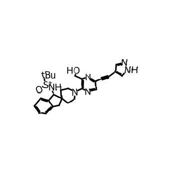 CC(C)(C)[S+]([O-])N[C@@H]1c2ccccc2CC12CCN(c1ncc(C#Cc3cn[nH]c3)nc1CO)CC2